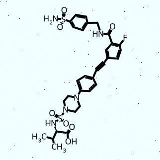 CC(C)[C@@H](NS(=O)(=O)N1CCN(c2ccc(C#Cc3ccc(F)c(C(=O)NCc4ccc(S(N)(=O)=O)cc4)c3)cc2)CC1)C(=O)O